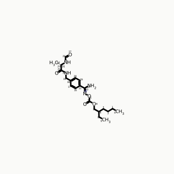 CCCCC(CC)COC(=O)O/N=C(\N)c1ccc(CNC(=O)[C@H](C)NC=O)cc1